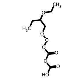 CCOC(CC)COOOC(=O)OC(=O)O